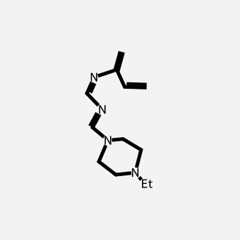 C=CC(=C)/N=C\N=C\N1CCN(CC)CC1